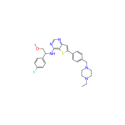 CCN1CCN(Cc2ccc(-c3cc4ncnc(NC(COC)c5ccc(F)cc5)c4s3)cc2)CC1